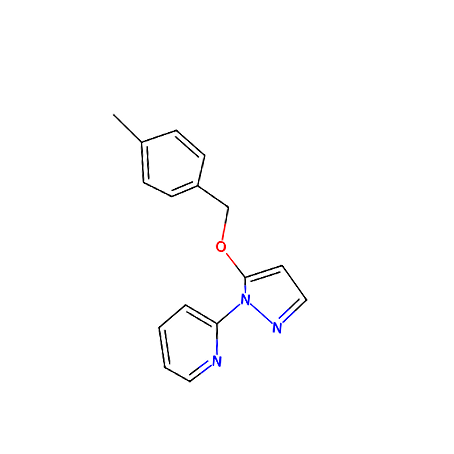 Cc1ccc(COc2ccnn2-c2ccccn2)cc1